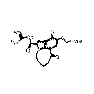 COCOc1cc2c3c(cc(C(=O)NC(=N)N)n3CCCCC2=O)c1Cl